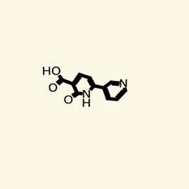 O=C(O)c1ccc(-c2cccnc2)[nH]c1=O